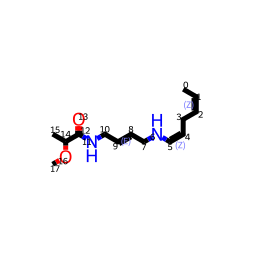 C/C=C\C/C=C\NC/C=C/CNC(=O)C(C)OC